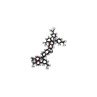 CC(C)c1ccc(-c2cc(C(C)C)ccc2N(c2ccc(C(C)C)cc2)c2ccc3cc4c(cc3c2)oc2cc3cc(N(c5ccc(C(C)C)cc5)c5ccc(C(C)C)cc5-c5ccc(C(C)C)cc5)ccc3cc24)cc1